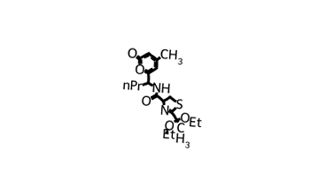 CCCC(NC(=O)C1CSC(C(C)(OCC)OCC)=N1)c1cc(C)cc(=O)o1